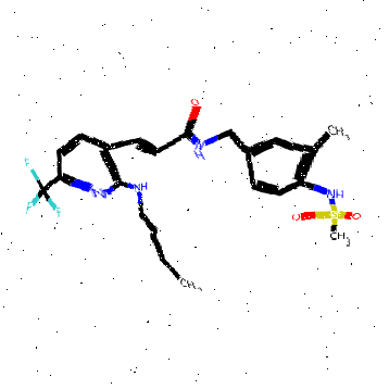 CCCCNc1nc(C(F)(F)F)ccc1C=CC(=O)NCc1ccc(NS(C)(=O)=O)c(C)c1